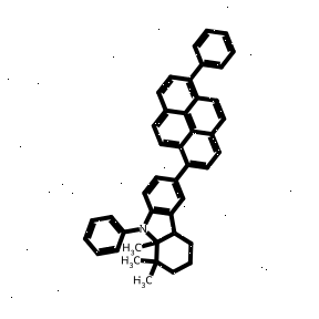 CC1(C)CCCC2c3cc(-c4ccc5ccc6c(-c7ccccc7)ccc7ccc4c5c76)ccc3N(c3ccccc3)C21C